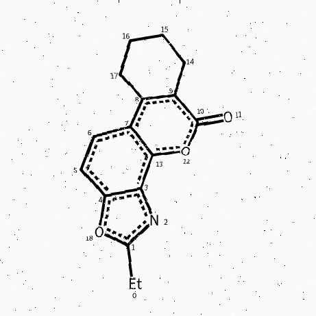 CCc1nc2c(ccc3c4c(c(=O)oc32)CCCC4)o1